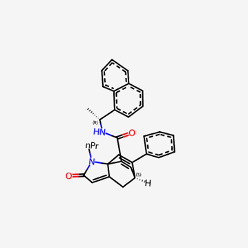 CCCN1C(=O)C=C2C[C@H]3C=C(C(=O)N[C@H](C)c4cccc5ccccc45)C21C=C3c1ccccc1